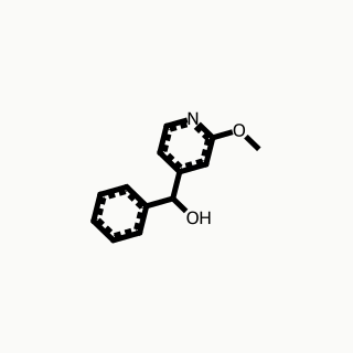 COc1cc(C(O)c2ccccc2)ccn1